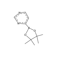 CC1(C)OB(c2ccncn2)OC1(C)C